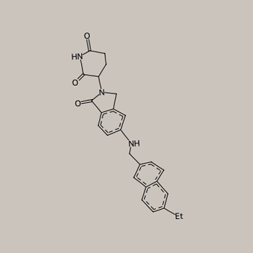 CCc1ccc2cc(CNc3ccc4c(c3)CN(C3CCC(=O)NC3=O)C4=O)ccc2c1